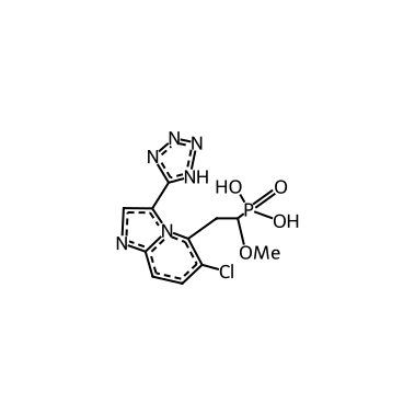 COC(Cc1c(Cl)ccc2ncc(-c3nnn[nH]3)n12)P(=O)(O)O